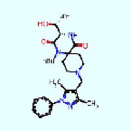 CCCCN1C(=O)[C@H]([C@H](O)C(C)C)NC(=O)C12CCN(Cc1c(C)nn(-c3ccccc3)c1C)CC2